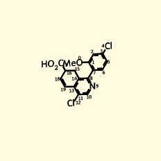 COc1cc(Cl)ccc1-c1ncc(Cl)c2c1CC(C(=O)O)C=C2